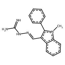 Cn1c(-c2ccccc2)c(C=NNC(=N)N)c2ccccc21